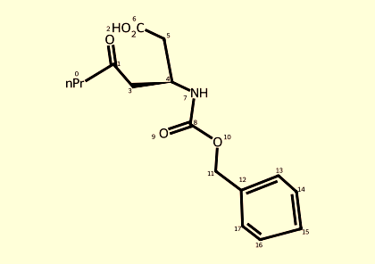 CCCC(=O)C[C@@H](CC(=O)O)NC(=O)OCc1ccccc1